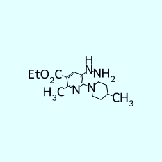 CCOC(=O)c1cc(NN)c(N2CCC(C)CC2)nc1C